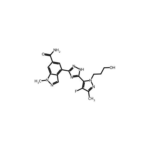 Cc1nn(CCCO)c(-c2nc(-c3cc(C(N)=O)cc4c3cnn4C)n[nH]2)c1F